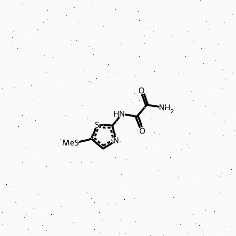 CSc1cnc(NC(=O)C(N)=O)s1